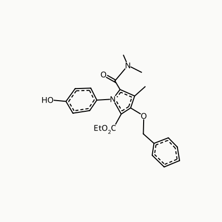 CCOC(=O)c1c(OCc2ccccc2)c(C)c(C(=O)N(C)C)n1-c1ccc(O)cc1